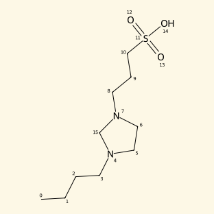 CCCCN1CCN(CCCS(=O)(=O)O)C1